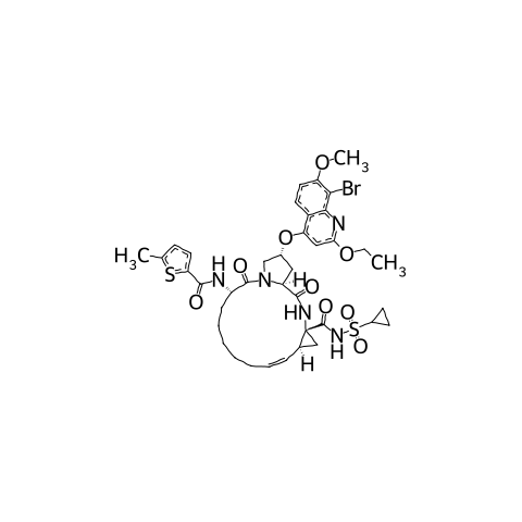 CCOc1cc(O[C@@H]2C[C@H]3C(=O)N[C@]4(C(=O)NS(=O)(=O)C5CC5)C[C@H]4/C=C\CCCCC[C@H](NC(=O)c4ccc(C)s4)C(=O)N3C2)c2ccc(OC)c(Br)c2n1